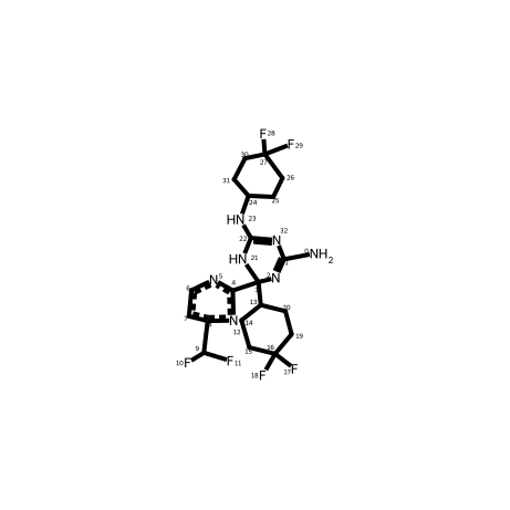 NC1=NC(c2nccc(C(F)F)n2)(C2CCC(F)(F)CC2)NC(NC2CCC(F)(F)CC2)=N1